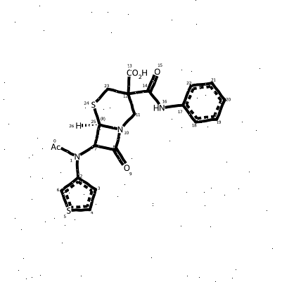 CC(=O)N(c1ccsc1)C1C(=O)N2CC(C(=O)O)(C(=O)Nc3ccccc3)CS[C@H]12